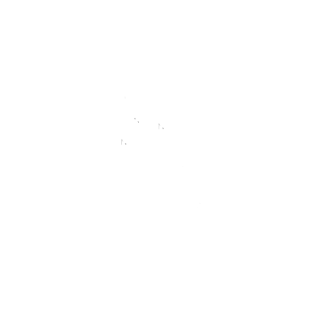 Cc1cc2nn(C)nc2cc1C